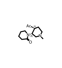 CC(=O)[C@H]1CCN(C)C[C@@H]1N1CCCCC1=O